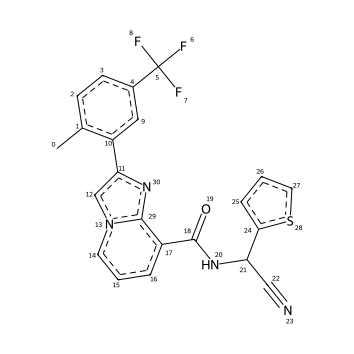 Cc1ccc(C(F)(F)F)cc1-c1cn2cccc(C(=O)NC(C#N)c3cccs3)c2n1